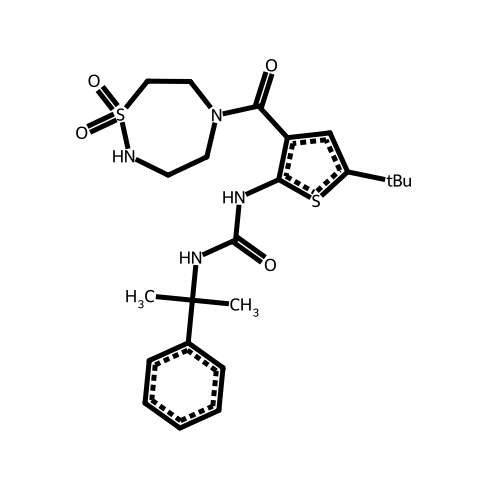 CC(C)(C)c1cc(C(=O)N2CCNS(=O)(=O)CC2)c(NC(=O)NC(C)(C)c2ccccc2)s1